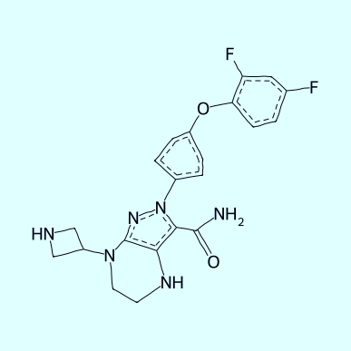 NC(=O)c1c2c(nn1-c1ccc(Oc3ccc(F)cc3F)cc1)N(C1CNC1)CCN2